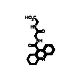 O=C(O)CNC(=O)CNC(=O)c1c2c(nc3ccccc13)CCCC2